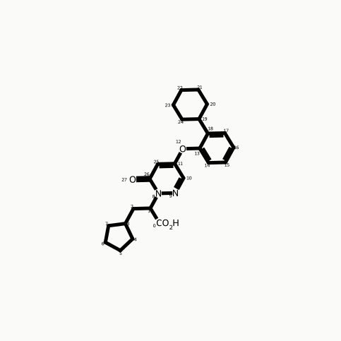 O=C(O)C(CC1CCCC1)n1ncc(Oc2ccccc2C2CCCCC2)cc1=O